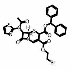 CC(=O)N(c1nccs1)C1C(=O)N2C=C(C(=O)OCCBr)C(C(=O)OC(c3ccccc3)c3ccccc3)S[C@H]12